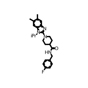 Cc1cc2nc(N3CCC(C(=O)NCc4ccc(F)cc4)CC3)n(C(C)C)c2cc1C